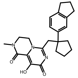 CN1CCn2c(CC3(c4ccc5c(c4)CCC5)CCCC3)nc(=O)c(O)c2C1=O